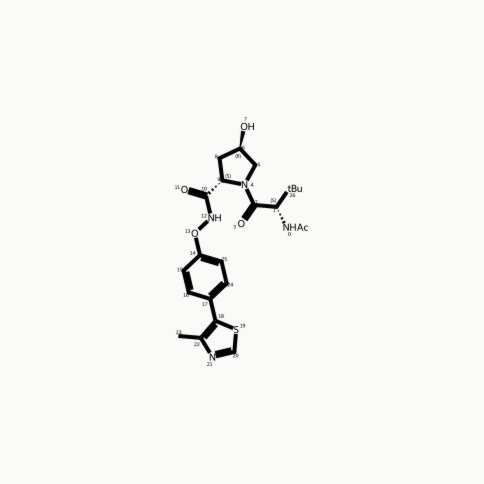 CC(=O)N[C@H](C(=O)N1C[C@H](O)C[C@H]1C(=O)NOc1ccc(-c2scnc2C)cc1)C(C)(C)C